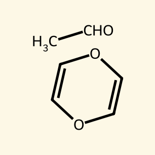 C1=COC=CO1.CC=O